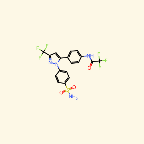 NS(=O)(=O)c1ccc(-n2nc(C(F)(F)F)cc2-c2ccc(NC(=O)C(F)(F)F)cc2)cc1